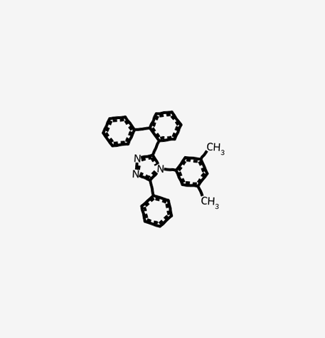 Cc1cc(C)cc(-n2c(-c3ccccc3)nnc2-c2ccccc2-c2ccccc2)c1